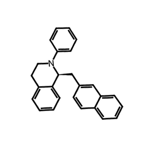 c1ccc(N2CCc3ccccc3[C@@H]2Cc2ccc3ccccc3c2)cc1